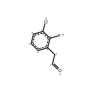 O=CCc1cccc(Cl)c1F